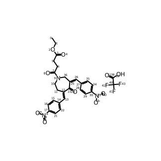 CCOC(=O)CCC(=O)N1CCC(=Cc2ccc([N+](=O)[O-])cc2)C(=O)C(=Cc2ccc([N+](=O)[O-])cc2)C1.O=C(O)C(F)(F)F